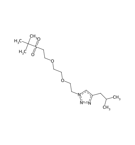 CC(C)Cc1cn(CCOCCOCCS(=O)(=O)C(C)(C)C)nn1